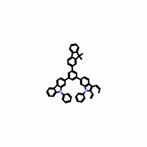 C=Cc1c(/C=C\C)c2ccc(-c3cc(-c4ccc5c(c4)C(C)(C)c4ccccc4-5)cc(-c4ccc5c6ccccc6n(-c6ccccc6)c5c4)c3)cc2n1-c1ccccc1